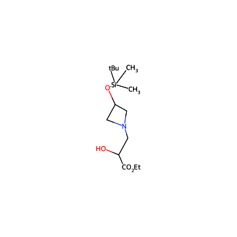 CCOC(=O)C(O)CN1CC(O[Si](C)(C)C(C)(C)C)C1